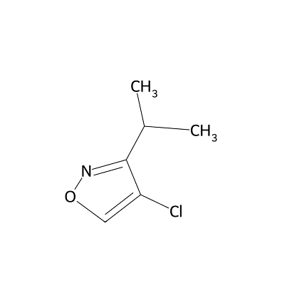 CC(C)c1nocc1Cl